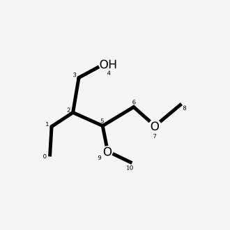 CCC(CO)C(COC)OC